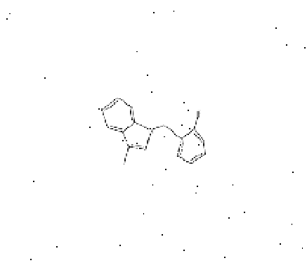 Cc1cn(Cc2ccccc2F)c2ccccc12